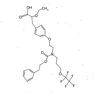 CCOC(Cc1ccc(OCCN(CCCOC(F)(F)C(F)(F)F)C(=O)OCCc2ccccc2)cc1)C(=O)O